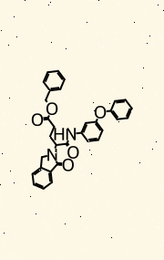 O=C(CCC(C(=O)Nc1cccc(Oc2ccccc2)c1)N1Cc2ccccc2C1=O)OCc1ccccc1